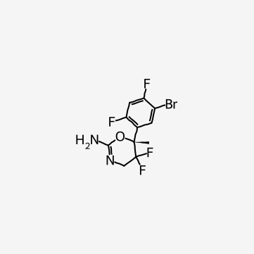 C[C@]1(c2cc(Br)c(F)cc2F)OC(N)=NCC1(F)F